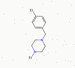 CCc1ccc(CN2CCN(CC)CC2)cc1